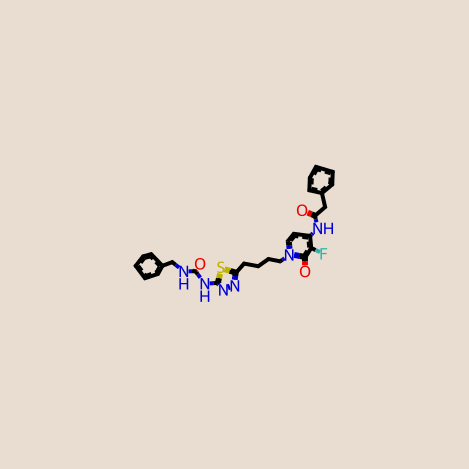 O=C(Cc1ccccc1)Nc1ccn(CCCCc2nnc(NC(=O)NCc3ccccc3)s2)c(=O)c1F